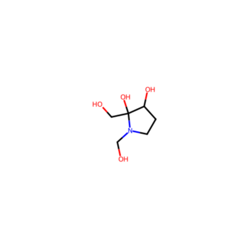 OCN1CCC(O)C1(O)CO